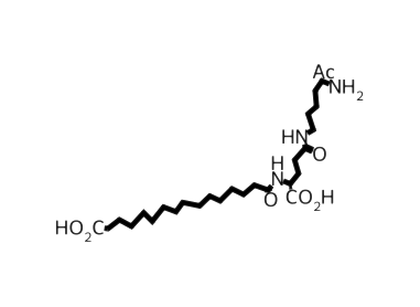 CC(=O)[C@@H](N)CCCCNC(=O)CC[C@H](NC(=O)CCCCCCCCCCCCCCC(=O)O)C(=O)O